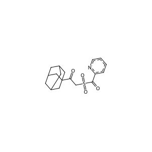 O=C(CS(=O)(=O)C(=O)c1ccccn1)C12CC3CC(CC(C3)C1)C2